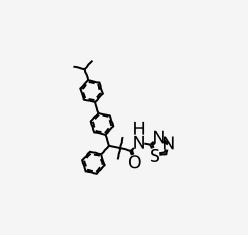 CC(C)c1ccc(-c2ccc(C(c3ccccc3)C(C)(C)C(=O)Nc3nncs3)cc2)cc1